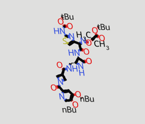 CCCCOc1cnc(C(=O)N2CC(C(=O)NC[C@H]3NC(=O)[C@H]3NC(=O)/C(=N\OC(C)(C)C(=O)OC(C)(C)C)c3csc(NC(=O)OC(C)(C)C)n3)C2)cc1OCCCC